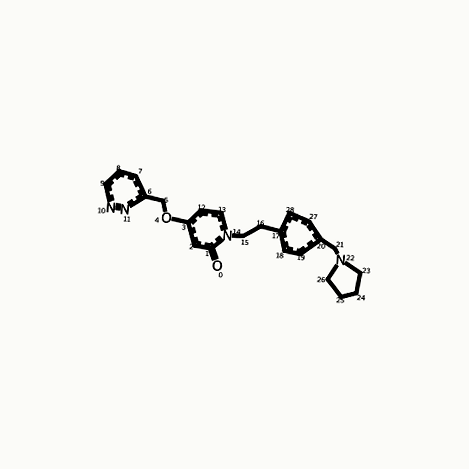 O=c1cc(OCc2cccnn2)ccn1CCc1ccc(CN2CCCC2)cc1